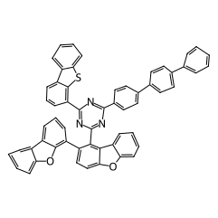 c1ccc(-c2ccc(-c3ccc(-c4nc(-c5cccc6c5sc5ccccc56)nc(-c5c(-c6cccc7c6oc6ccccc67)ccc6oc7ccccc7c56)n4)cc3)cc2)cc1